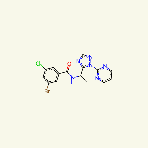 CC(NC(=O)c1cc(Cl)cc(Br)c1)c1ncnn1-c1ncccn1